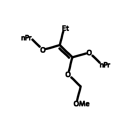 CCCO/C(CC)=C(/OCCC)OCOC